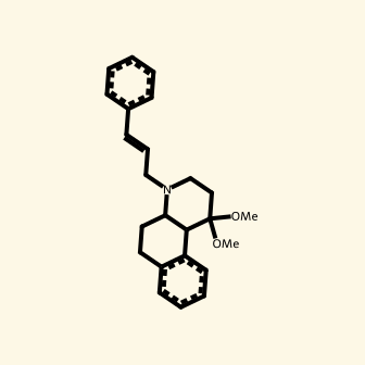 COC1(OC)CCN(CC=Cc2ccccc2)C2CCc3ccccc3C21